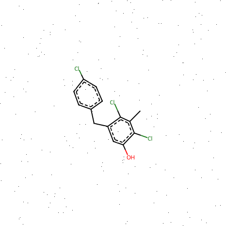 Cc1c(Cl)c(O)cc(Cc2ccc(Cl)cc2)c1Cl